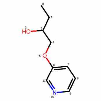 CCC(O)COc1cccnc1